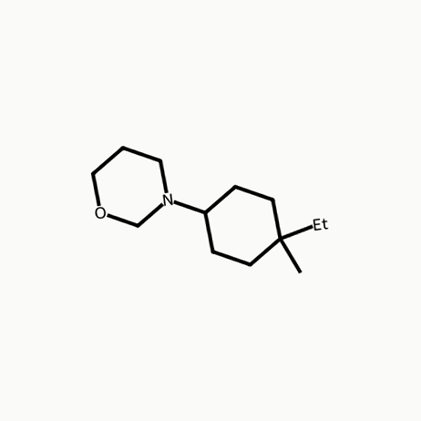 CCC1(C)CCC(N2CCCOC2)CC1